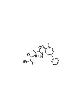 CC(NC(=O)[C@@H](F)C(C)C)C(=O)N[C@H]1C=C(c2ccccc2)C=CN(C)C1=O